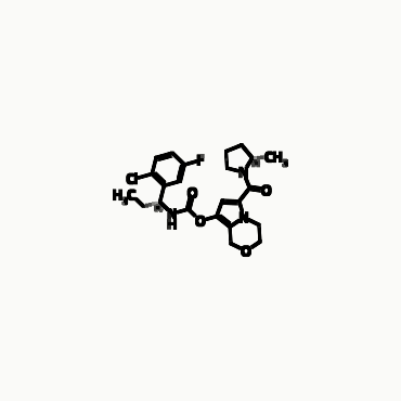 CC[C@@H](NC(=O)Oc1cc(C(=O)N2CCC[C@@H]2C)n2c1COCC2)c1cc(F)ccc1Cl